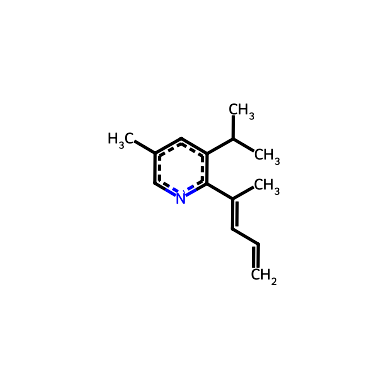 C=C/C=C(\C)c1ncc(C)cc1C(C)C